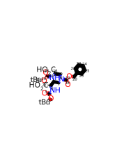 CC(C)(C)OC(=O)N[C@@H](CCN(C[C@H](NC(=O)OC(C)(C)C)C(=O)O)C(=O)OCc1ccccc1)C(=O)O